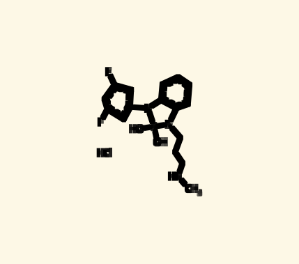 CNCCCN1c2ccccc2N(c2cc(F)cc(F)c2)S1(O)O.Cl